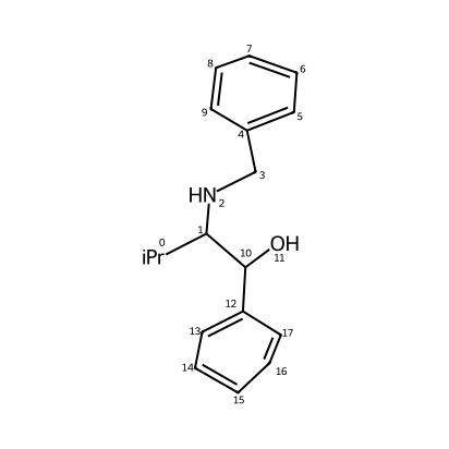 CC(C)C(NCc1ccccc1)C(O)c1ccccc1